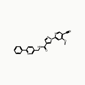 COc1cc(-n2cc(C(=O)NCc3ccc(-c4ccccc4)nc3)cn2)ncc1C#N